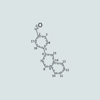 O=Cc1ccc(-c2ccc3ccccc3c2)cc1